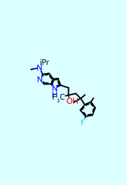 Cc1ccc(F)cc1C(C)(C)CC(O)(Cc1cc2cc(N(C)C(C)C)ncc2[nH]1)C(F)(F)F